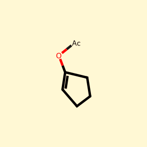 CC(=O)OC1=CCCC1